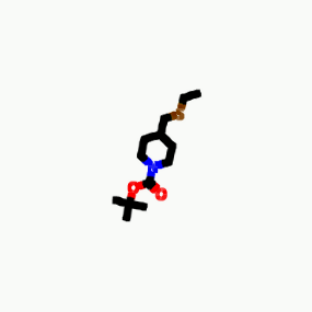 CCSCC1CCN(C(=O)OC(C)(C)C)CC1